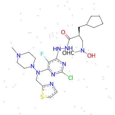 CN1CCN(N(Cc2nccs2)c2nc(Cl)nc(NNC(=O)[C@@H](CC3CCCC3)CN(O)C=O)c2F)CC1